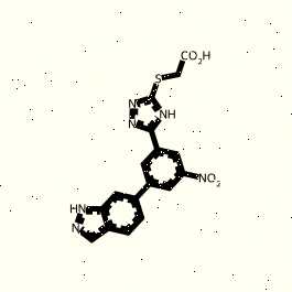 O=C(O)CSc1nnc(-c2cc(-c3ccc4cn[nH]c4c3)cc([N+](=O)[O-])c2)[nH]1